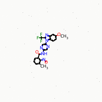 COc1ccc2c(c1)nc(C(F)(F)F)n2-c1cnc(NC(=O)c2cccc(C)c2N=O)cn1